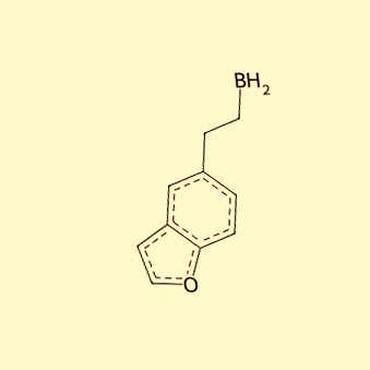 BCCc1ccc2occc2c1